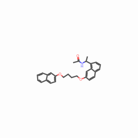 CC(=O)NC(C)c1cccc2ccc(OCCCCOc3ccc4ccc[c]c4c3)cc12